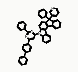 c1ccc(-c2ccc(-c3cc(-n4c5ccccc5c5c6c(ccc54)C(c4ccccc4)(c4cccnc4)c4ccccc4-6)nc(-c4ccccc4)n3)cc2)cc1